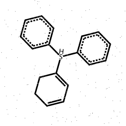 C1=CCCC([SH](c2ccccc2)c2ccccc2)=C1